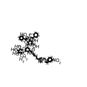 CC1O[C@@H](OC2[C@H](C)CC(C(=O)NCCCCc3cn(Cn4ccc5cc([N+](=O)[O-])ccc54)nn3)C[C@H]2O[C@@H]2O[C@@H](CO)[C@H](O)C(O[C@@H](CC3CCCCC3)C(=O)O)C2OC(=O)c2ccccc2)[C@@H](O)C(O)[C@@H]1O